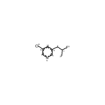 FC(F)[CH]c1cncc(Cl)c1